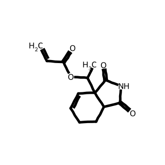 C=CC(=O)OC(C)C12C=CCCC1C(=O)NC2=O